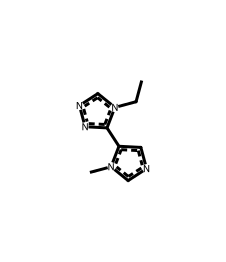 CCn1cnnc1-c1cncn1C